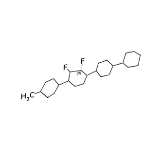 CC1CCC(C2CCC(C3CCC(C4CCCCC4)CC3)[C@@H](F)C2F)CC1